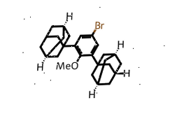 COc1c(C23CC4C[C@H](C2)C[C@@H](C4)C3)cc(Br)cc1C12C[C@H]3C[C@@H](C1)C[C@@H](C2)C3